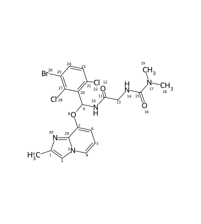 Cc1cn2cccc(OC(NC(=O)CNC(=O)N(C)C)c3c(Cl)ccc(Br)c3Cl)c2n1